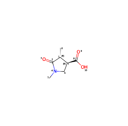 C[C@H]1C(=O)N(C)C[C@@H]1C(=O)O